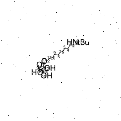 CC(C)(C)NCCCCCCCCCCCO[C@H]1OCC(O)(CO)C1O